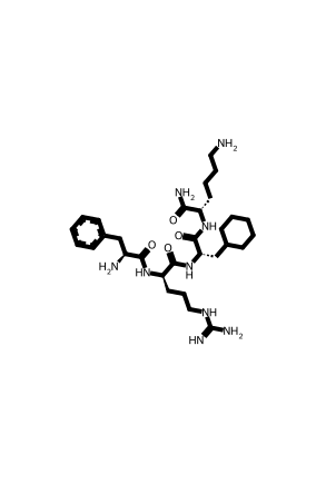 N=C(N)NCCC[C@@H](NC(=O)[C@@H](N)Cc1ccccc1)C(=O)N[C@@H](CC1CCCCC1)C(=O)N[C@@H](CCCCN)C(N)=O